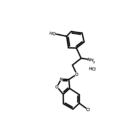 Cl.NC(COc1noc2ccc(Cl)cc12)c1cccc(O)c1